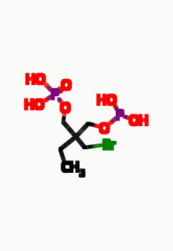 CCC(CBr)(COP(O)O)COP(=O)(O)O